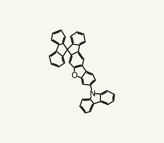 c1ccc2c(c1)-c1ccccc1C21c2ccccc2-c2cc3c(cc21)oc1cc(-n2c4ccccc4c4ccccc42)ccc13